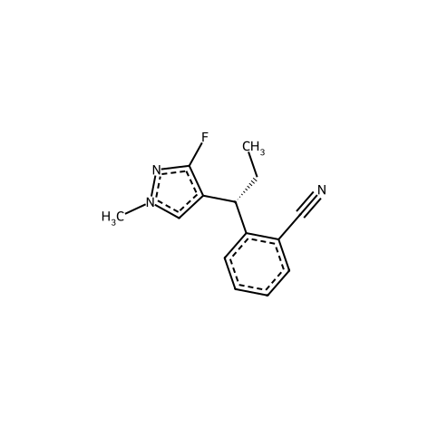 CC[C@H](c1ccccc1C#N)c1cn(C)nc1F